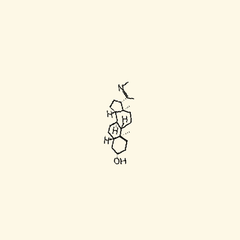 C/N=C(\C)[C@H]1CC[C@H]2[C@@H]3CC[C@H]4C[C@@H](O)CC[C@]4(C)[C@H]3CC[C@]12C